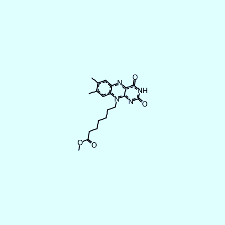 COC(=O)CCCCCCn1c2nc(=O)[nH]c(=O)c-2nc2cc(C)c(C)cc21